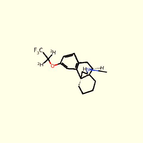 [2H]C([2H])(Oc1ccc2c(c1)[C@]13CCCC[C@@H]1[C@H](C2)N(C)CC3)C(F)(F)F